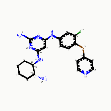 Nc1nc(Nc2ccc(Sc3ccncc3)c(F)c2)cc(N[C@@H]2CCCC[C@H]2N)n1